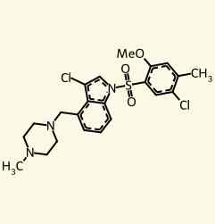 COc1cc(C)c(Cl)cc1S(=O)(=O)n1cc(Cl)c2c(CN3CCN(C)CC3)cccc21